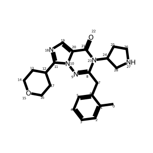 Cc1ccccc1Cc1nn2c(C3CCOCC3)ncc2c(=O)n1C1CCNC1